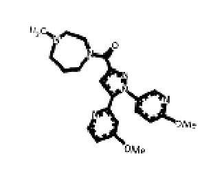 COc1ccnc(-c2cc(C(=O)N3CCCN(C)CC3)nn2-c2ccc(OC)nc2)c1